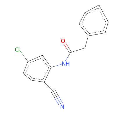 N#Cc1ccc(Cl)cc1NC(=O)Cc1ccccc1